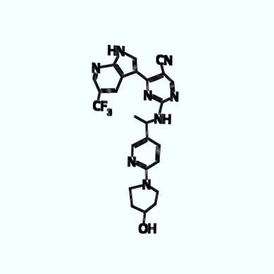 CC(Nc1ncc(C#N)c(-c2c[nH]c3ncc(C(F)(F)F)cc23)n1)c1ccc(N2CCC(O)CC2)nc1